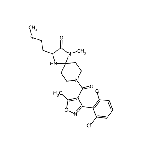 CSCCC1NC2(CCN(C(=O)c3c(-c4c(Cl)cccc4Cl)noc3C)CC2)N(C)C1=O